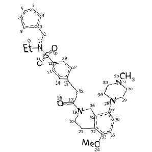 CCN(Cc1ccccc1)S(=O)(=O)c1ccc(CC(=O)N2CCc3c(OC)ccc(N4CCN(C)CC4)c3C2)cc1